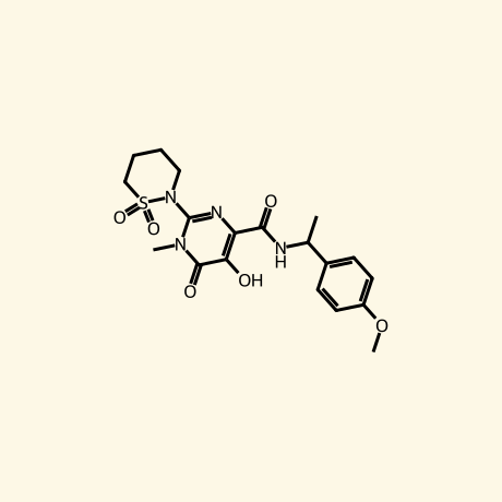 COc1ccc(C(C)NC(=O)c2nc(N3CCCCS3(=O)=O)n(C)c(=O)c2O)cc1